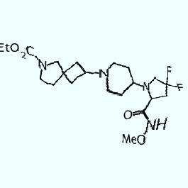 CCOC(=O)N1CCC2(CC(N3CCC(N4CC(F)(F)CC4C(=O)NOC)CC3)C2)C1